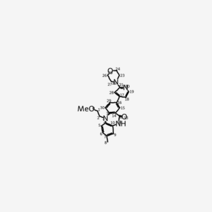 COCCN1c2ccc(C)cc2NC(=O)c2cc(-c3ccnc(N4CCOCC4)c3)ccc21